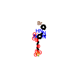 CS(=O)(=O)OCCOCCOc1cc2ncnc(Nc3cccc(Br)c3)c2cc1[N+](=O)[O-]